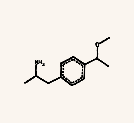 COC(C)c1ccc(CC(C)N)cc1